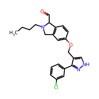 CCCCN1Cc2cc(OCc3c[nH]nc3-c3cccc(Cl)c3)ccc2C1C=O